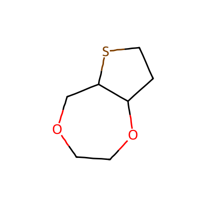 C1COC2CCSC2CO1